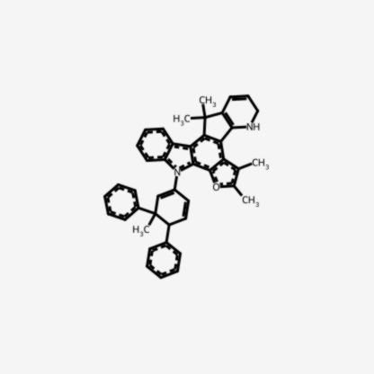 Cc1oc2c(c1C)c1c(c3c4ccccc4n(C4=CC(C)(c5ccccc5)C(c5ccccc5)C=C4)c23)C(C)(C)C2=C1NCC=C2